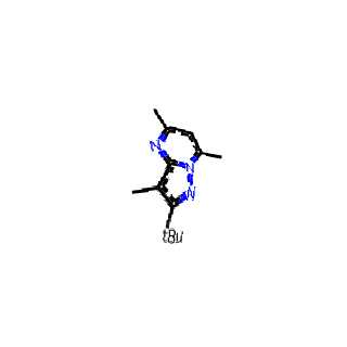 Cc1cc(C)n2nc(C(C)(C)C)c(C)c2n1